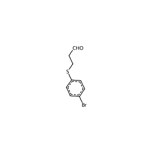 O=CCCSc1ccc(Br)cc1